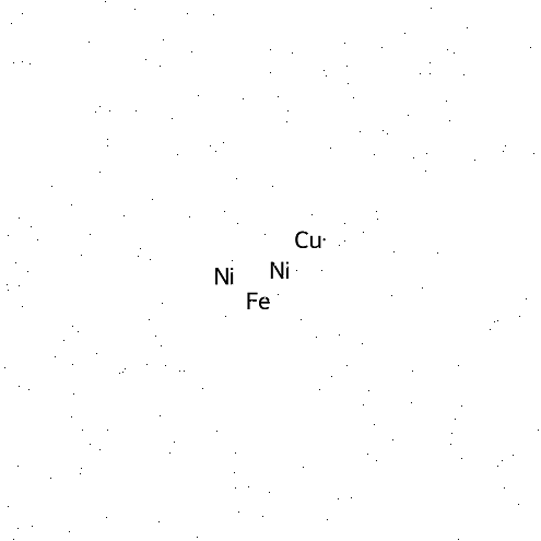 [Cu].[Fe].[Ni].[Ni]